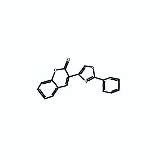 O=c1oc2ccccc2cc1-c1csc(-c2ccccc2)n1